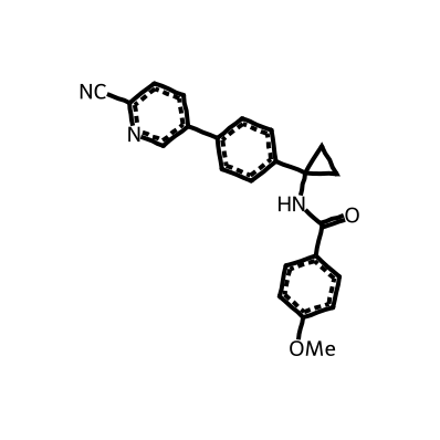 COc1ccc(C(=O)NC2(c3ccc(-c4ccc(C#N)nc4)cc3)CC2)cc1